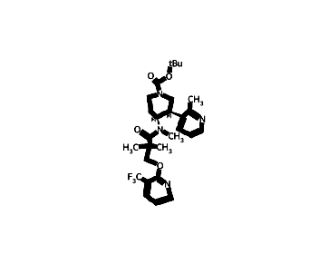 Cc1ncccc1[C@@H]1CN(C(=O)OC(C)(C)C)CC[C@H]1N(C)C(=O)C(C)(C)COc1ncccc1C(F)(F)F